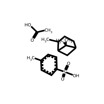 CC(=O)O.CC1CCC2CC1C2(C)C.Cc1ccc(S(=O)(=O)O)cc1